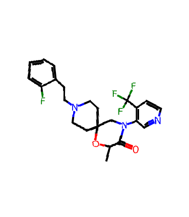 CC1OC2(CCN(CCc3ccccc3F)CC2)CN(c2cnccc2C(F)(F)F)C1=O